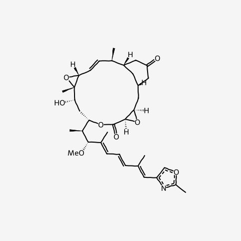 CO[C@@H](/C(C)=C/C=C/C(C)=C/c1coc(C)n1)[C@@H](C)[C@@H]1C[C@H](O)[C@]2(C)O[C@@H]2/C=C/[C@@H](C)[C@@H]2CC(=O)C[C@@H](C2)C[C@H]2O[C@H]2C(=O)O1